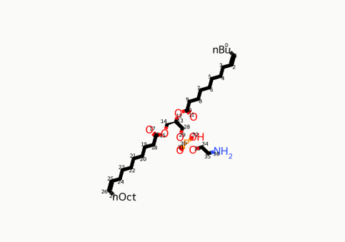 CCCC/C=C\CCCCCCCC(=O)O[C@H](COC(=O)CCCCCCC/C=C\CCCCCCCC)COP(=O)(O)OCCN